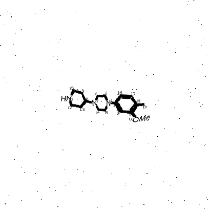 COc1cc(N2CCN(C3CCNCC3)CC2)ccc1C